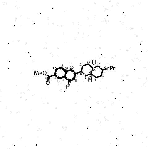 CCCC1CC[C@@H]2CC(c3cc(F)c4cc(C(=O)OC)ccc4c3)CC[C@H]2C1